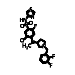 CN(c1cc(F)c(S(=O)(=O)Nc2cscn2)cc1Cl)C1CCN(Cc2cccc(F)c2F)C1